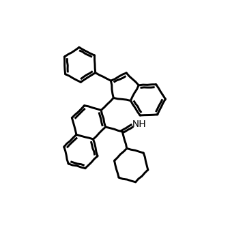 N=C(c1c(C2C(c3ccccc3)=Cc3ccccc32)ccc2ccccc12)C1CCCCC1